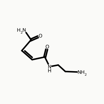 NCCNC(=O)/C=C\C(N)=O